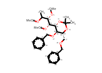 COOC(C)[C@H](OOC)[C@@H](OOC)[C@@H]1OC(C)(C)O[C@H](COCc2ccccc2)[C@H]1OCc1ccccc1